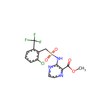 COC(=O)c1nccnc1NS(=O)(=O)Cc1c(Cl)cccc1C(F)(F)F